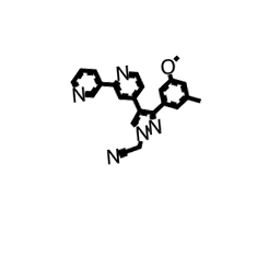 COc1cc(C)cc(-c2nn(CC#N)cc2-c2ccnc(-c3cccnc3)c2)c1